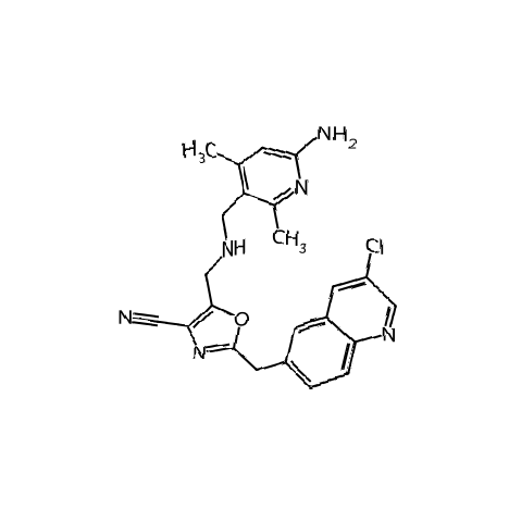 Cc1cc(N)nc(C)c1CNCc1oc(Cc2ccc3ncc(Cl)cc3c2)nc1C#N